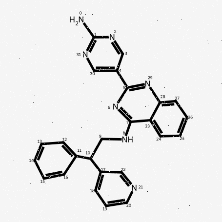 Nc1ncc(-c2nc(NCC(c3ccccc3)c3cccnc3)c3ccccc3n2)cn1